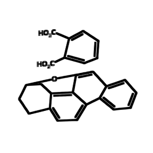 O=C(O)c1ccccc1C(=O)O.c1ccc2c(c1)c1cc3c4c(ccc32)CCC(C4)O1